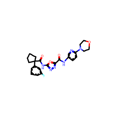 O=C(Nc1ccc(N2CCOCC2)nc1)c1nnc(NC(=O)C2(c3cccc(F)c3)CCCC2)o1